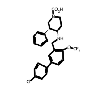 O=C(O)N1CC[C@H](NCc2cc(-c3ccc(Cl)cc3)ccc2OC(F)(F)F)[C@H](c2ccccc2)C1